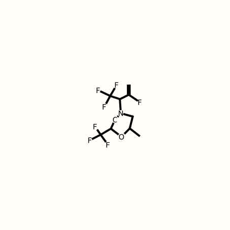 C=C(F)C(N1CC(C)OC(C(F)(F)F)C1)C(F)(F)F